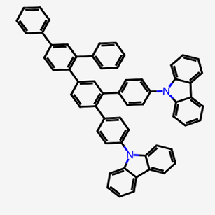 c1ccc(-c2ccc(-c3ccc(-c4ccc(-n5c6ccccc6c6ccccc65)cc4)c(-c4ccc(-n5c6ccccc6c6ccccc65)cc4)c3)c(-c3ccccc3)c2)cc1